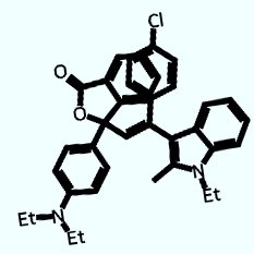 CCN(CC)c1ccc(C2(/C=C(\c3ccc(Cl)cc3)c3c(C)n(CC)c4ccccc34)OC(=O)c3ccccc32)cc1